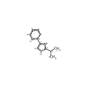 CC(C)c1nc(-c2ccccn2)cs1